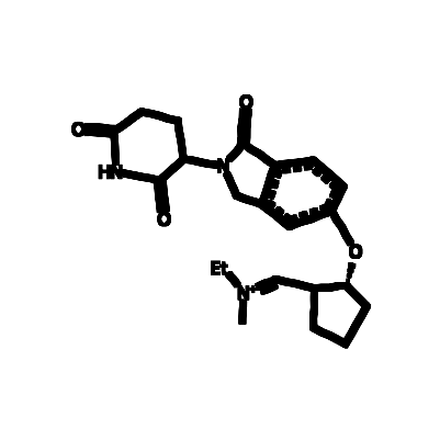 CC/[N+](C)=C/C1CCC[C@H]1Oc1ccc2c(c1)CN(C1CCC(=O)NC1=O)C2=O